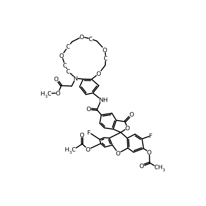 COC(=O)CN1CCOCCOCCOCCOc2cc(NC(=O)c3ccc4c(c3)C(=O)OC43c4cc(F)c(OC(C)=O)cc4Oc4cc(OC(C)=O)c(F)cc43)ccc21